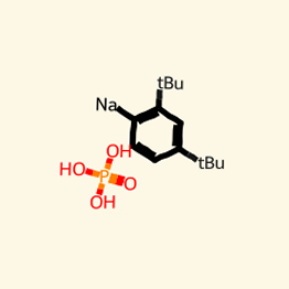 CC(C)(C)c1cc[c]([Na])c(C(C)(C)C)c1.O=P(O)(O)O